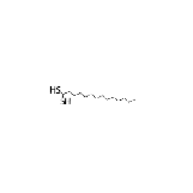 CCCCCCCCCCCCCC(S)S